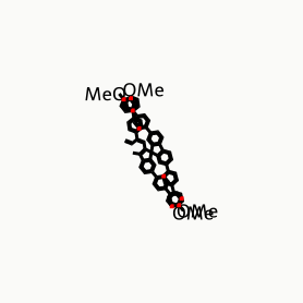 C=C/C(=C\C1=C(C)c2ccc(-c3ccc(-c4ccc(OC)cc4)cc3)cc2C12c1cc(-c3ccc(-c4ccc(OC)cc4)cc3)ccc1-c1ccc(-c3ccc(-c4ccc(OC)cc4)cc3)cc12)c1ccc(-c2ccc(OC)cc2)cc1